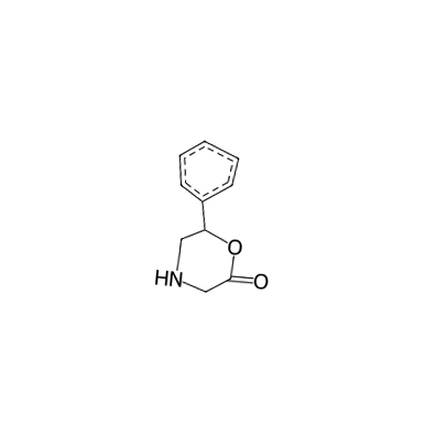 O=C1CNCC(c2ccccc2)O1